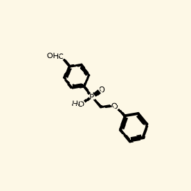 O=Cc1ccc(P(=O)(O)COc2ccccc2)cc1